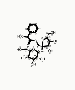 CC(C(=O)OC[C@@]1(O[C@H]2O[C@H](CO)[C@@H](O)[C@H](O)[C@H]2O)O[C@H](CO)[C@@H](O)[C@@H]1O)c1ccccc1